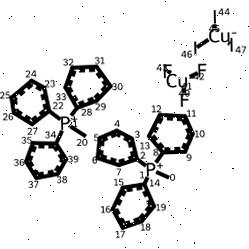 C[P+](c1ccccc1)(c1ccccc1)c1ccccc1.C[P+](c1ccccc1)(c1ccccc1)c1ccccc1.[F][Cu-]([F])[F].[I][Cu-]([I])[I]